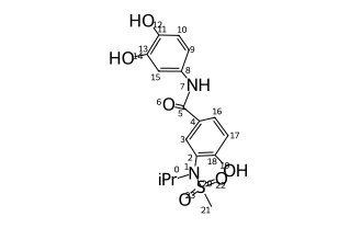 CC(C)N(c1cc(C(=O)Nc2ccc(O)c(O)c2)ccc1O)S(C)(=O)=O